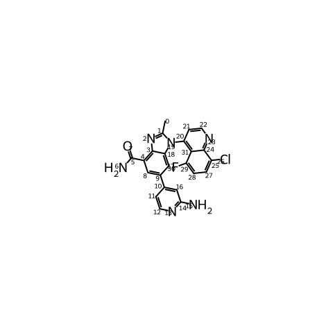 Cc1nc2c(C(N)=O)cc(-c3ccnc(N)c3)cc2n1-c1ccnc2c(Cl)ccc(F)c12